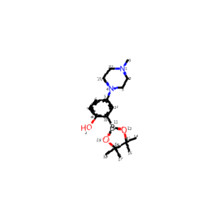 CN1CCN(c2ccc(O)c(B3OC(C)(C)C(C)(C)O3)c2)CC1